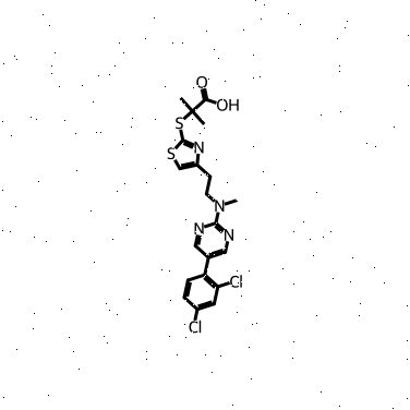 CN(CCc1csc(SC(C)(C)C(=O)O)n1)c1ncc(-c2ccc(Cl)cc2Cl)cn1